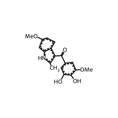 COc1ccc2c(C(=O)c3cc(O)c(O)c(OC)c3)c(C)[nH]c2c1